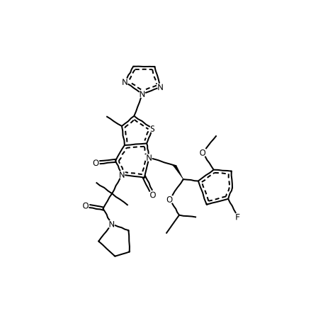 COc1ccc(F)cc1[C@H](Cn1c(=O)n(C(C)(C)C(=O)N2CCCC2)c(=O)c2c(C)c(-n3nccn3)sc21)OC(C)C